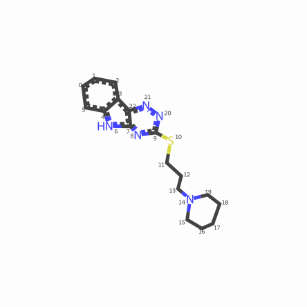 c1ccc2c(c1)[nH]c1nc(SCCCN3CCCCC3)nnc12